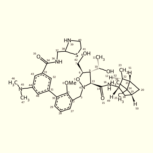 COc1c(CN2O[C@@H](CO)[C@H]([C@H](C)O)[C@H]2C(=O)N[C@H]2C[C@H]3C[C@@H]([C@@H]2C)C3(C)C)cccc1-c1cc(C(=O)NCC2NCCS2)cc(N(C)C)c1